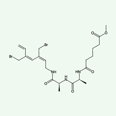 C=C/C(=C\C(=C/CNC(=O)[C@H](C)NC(=O)[C@H](C)NC(=O)CCCCC(=O)OC)CBr)CBr